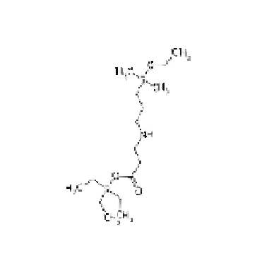 CCO[Si](C)(C)CCCNCCC(=O)O[Si](CC)(CC)CC